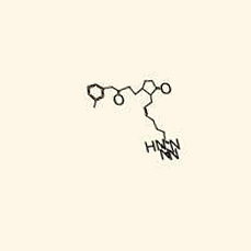 Cc1cccc(CC(=O)CCC2CCC(=O)C2C/C=C\CCCc2nnn[nH]2)c1